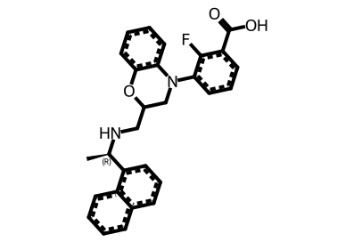 C[C@@H](NCC1CN(c2cccc(C(=O)O)c2F)c2ccccc2O1)c1cccc2ccccc12